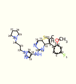 COc1cc(F)ccc1C1=C(C)SC2C=NC(Nc3cnn(CCCN4CCCC4)c3)=NC12